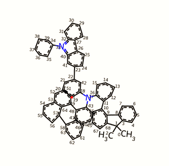 CC1(C)c2ccccc2-c2c(-c3ccccc3N(c3cccc(-c4ccc5c6ccccc6n(-c6ccccc6)c5c4)c3)c3ccccc3-c3cccc4cccc(-c5ccccc5)c34)cccc21